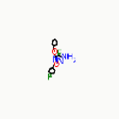 Nc1nc(OCc2ccc(F)cc2)nc(COCc2ccccc2)c1F